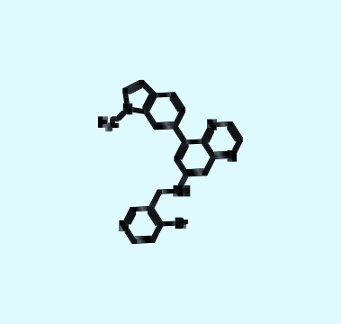 Cn1ccc2ccc(-c3cc(NCc4cnccc4Br)cc4nccnc34)cc21